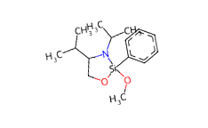 CO[Si]1(c2ccccc2)OCC(C(C)C)N1C(C)C